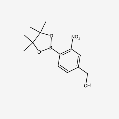 CC1(C)OB(c2ccc(CO)cc2[N+](=O)[O-])OC1(C)C